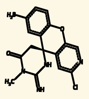 Bc1ccc2c(c1)[C@]1(CC(=O)N(C)C(=N)N1)c1cc(Cl)ncc1O2